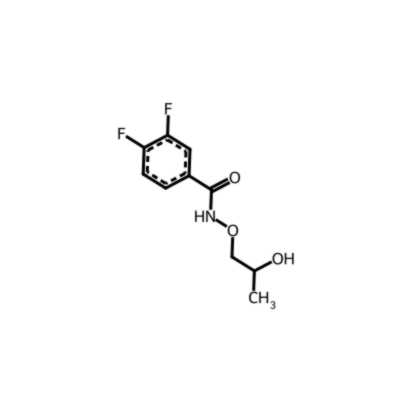 CC(O)CONC(=O)c1ccc(F)c(F)c1